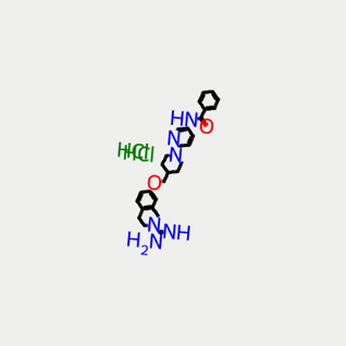 Cl.Cl.N=C(N)N1CCc2ccc(OCC3CCN(c4ccc(NC(=O)c5ccccc5)cn4)CC3)cc2C1